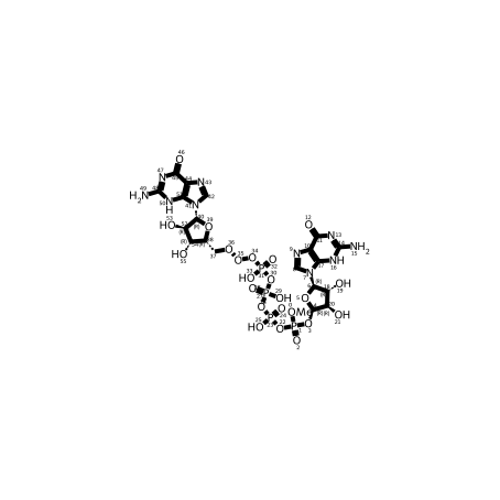 COP(=O)(O[C@H]1O[C@@H](n2cnc3c(=O)nc(N)[nH]c32)[C@H](O)[C@H]1O)OP(=O)(O)OP(=O)(O)OP(=O)(O)OOOC[C@H]1O[C@@H](n2cnc3c(=O)nc(N)[nH]c32)[C@H](O)[C@H]1O